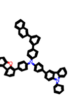 c1ccc(-n2c3ccccc3c3cc(-c4ccc(N(c5ccc(-c6cccc(-c7ccc8ccccc8c7)c6)cc5)c5ccc(-c6cccc7c6oc6ccccc67)cc5)cc4)ccc32)cc1